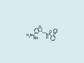 N=C(N)c1ccc2c(c1)C(CCNC(=O)c1ccccc1-n1cccc1)CO2